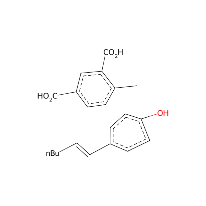 CCCCC=Cc1ccc(O)cc1.Cc1ccc(C(=O)O)cc1C(=O)O